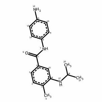 Cc1ccc(C(=O)Nc2ccc(N)cc2)cc1NC(C)C